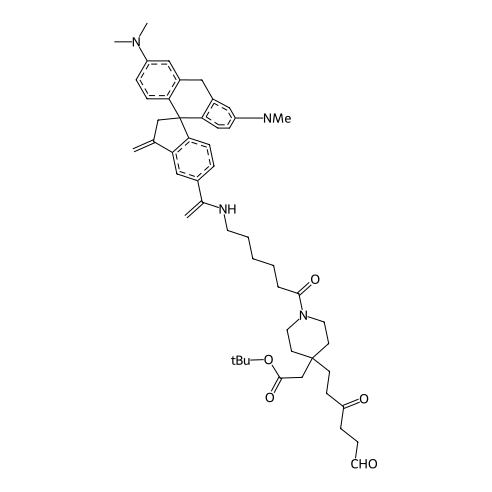 C=C(NCCCCCC(=O)N1CCC(CCC(=O)CCC=O)(CC(=O)OC(C)(C)C)CC1)c1ccc2c(c1)C(=C)CC21c2ccc(NC)cc2Cc2cc(N(C)C)ccc21